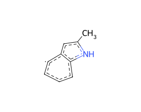 Cc1cc2[c]cccc2[nH]1